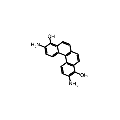 Nc1ccc2c(ccc3ccc4c(O)c(N)ccc4c32)c1O